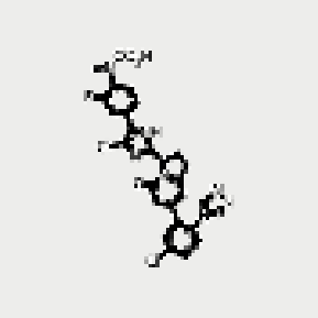 CN(C(=O)O)c1ccc(-c2[nH]c(C3CCc4cc(-c5cc(Cl)ccc5-n5cnnn5)cc(=O)n43)nc2Cl)cc1F